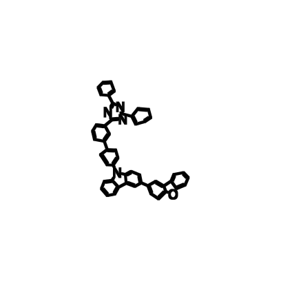 c1ccc(-c2nc(-c3ccccc3)nc(-c3cccc(-c4ccc(-n5c6ccccc6c6cc(-c7ccc8oc9ccccc9c8c7)ccc65)cc4)c3)n2)cc1